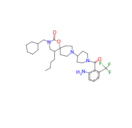 CCCCC1CN(CC2CCCCC2)C(=O)OC12CCN(C1CCN(C(=O)c3c(N)cccc3C(F)(F)F)CC1)CC2